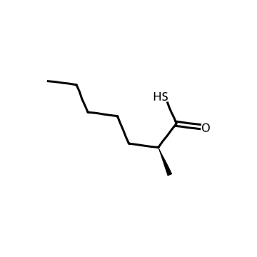 CCCCC[C@H](C)C(=O)S